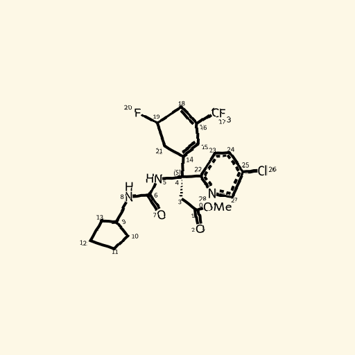 COC(=O)C[C@](NC(=O)NC1CCCC1)(C1=CC(C(F)(F)F)=CC(F)C1)c1ccc(Cl)cn1